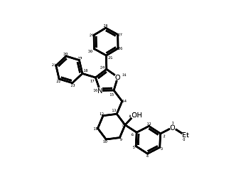 CCOc1cccc(C2(O)CCCCC2Cc2nc(-c3ccccc3)c(-c3ccccc3)o2)c1